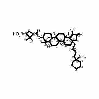 CC(C)C1=C2[C@H]3CC[C@@H]4[C@@]5(C)CC[C@H](OC(=O)[C@H]6C[C@@H](C(=O)O)C6(C)C)C(C)(C)[C@@H]5CC[C@@]4(C)[C@]3(C)CC[C@@]2(CC(=O)NCC2(N)CCCCC2)CC1=O